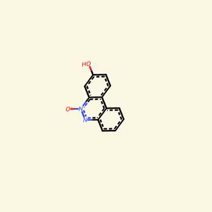 [O-][n+]1nc2ccccc2c2ccc(O)cc21